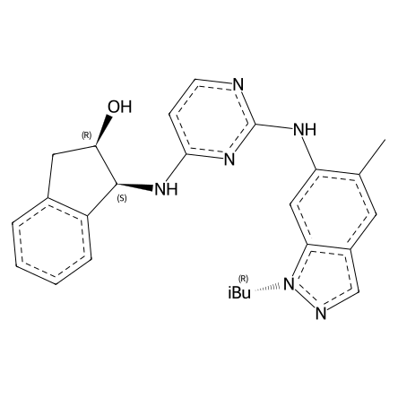 CC[C@@H](C)n1ncc2cc(C)c(Nc3nccc(N[C@H]4c5ccccc5C[C@H]4O)n3)cc21